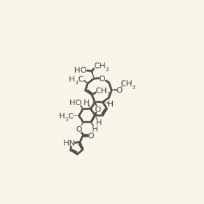 CO[C@@H]1CO[C@H](C(C)O)[C@H](C)/C=C(\C)[C@]23O[C@@H]4[C@H](C=C[C@@H]2C1)[C@H]3[C@H](O)[C@@H](C)[C@H]4OC(=O)c1ccc[nH]1